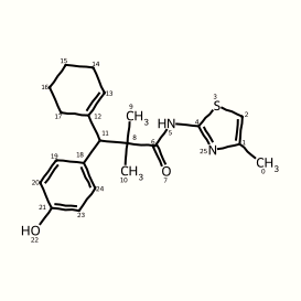 Cc1csc(NC(=O)C(C)(C)C(C2=CCCCC2)c2ccc(O)cc2)n1